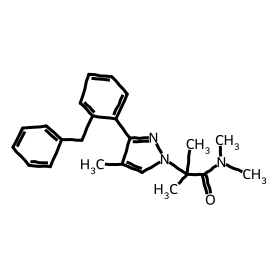 Cc1cn(C(C)(C)C(=O)N(C)C)nc1-c1ccccc1Cc1ccccc1